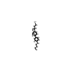 CCCCCc1ccc(-c2ccc(OCCCC)cn2)cc1